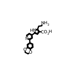 NCCc1[nH]c(-c2ccnc(-c3ccc4c(c3)OCCO4)c2)cc1C(=O)O